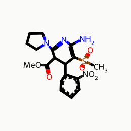 COC(=O)C1C(N2CCCC2)=NC(N)=C(S(C)(=O)=O)C1c1ccccc1[N+](=O)[O-]